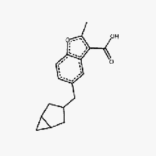 Cc1oc2ccc(CC3CC4CC4C3)cc2c1C(=O)O